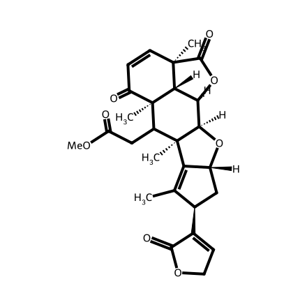 COC(=O)CC1[C@]2(C)C3=C(C)[C@H](C4=CCOC4=O)C[C@H]3O[C@@H]2[C@@H]2OC(=O)[C@]3(C)C=CC(=O)[C@@]1(C)[C@@H]23